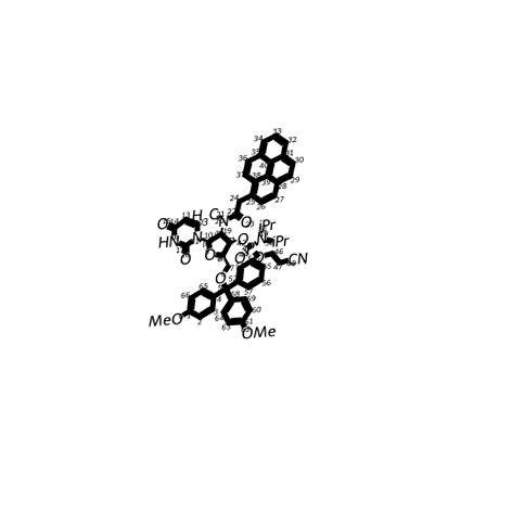 COc1ccc(C(OC[C@H]2O[C@@H](n3ccc(=O)[nH]c3=O)[C@H](N(C)C(=O)Cc3ccc4ccc5cccc6ccc3c4c56)[C@@H]2OP(=O)(OCCC#N)N(C(C)C)C(C)C)(c2ccccc2)c2ccc(OC)cc2)cc1